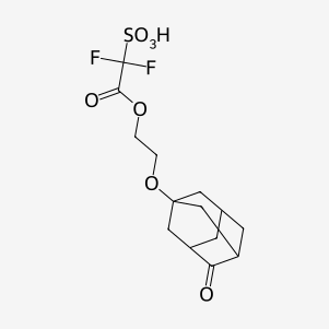 O=C1C2CC3CC1CC(OCCOC(=O)C(F)(F)S(=O)(=O)O)(C3)C2